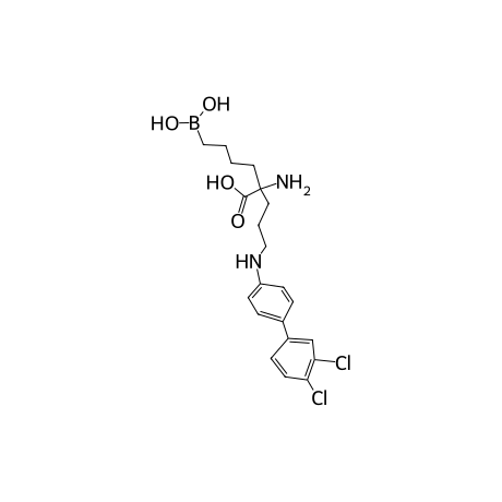 NC(CCCCB(O)O)(CCCNc1ccc(-c2ccc(Cl)c(Cl)c2)cc1)C(=O)O